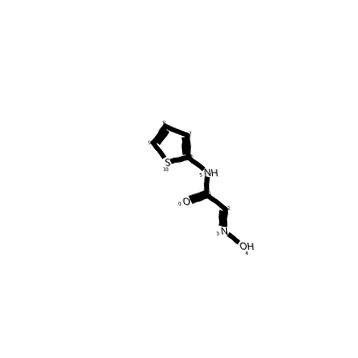 O=C(C=NO)Nc1cccs1